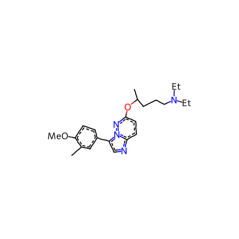 CCN(CC)CCCC(C)Oc1ccc2ncc(-c3ccc(OC)c(C)c3)n2n1